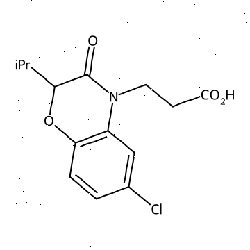 CC(C)C1Oc2ccc(Cl)cc2N(CCC(=O)O)C1=O